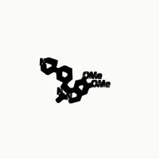 COc1cc2c(cc1OC)-c1c(-c3cccc(-c4ccncc4)c3)nc(C)n1CC2